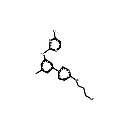 Cc1cc(Nc2nccc(C(F)(F)F)n2)cc(-c2ccc(NCCCO)nc2)c1